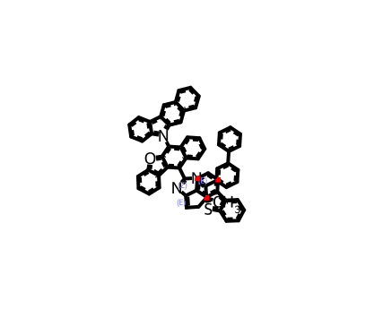 CC1C/C=C(c2cccc3c2sc2ccccc23)/N=C(c2c3ccccc3c(-n3c4ccccc4c4cc5ccccc5cc43)c3oc4ccccc4c23)\N=C/1c1cccc(-c2ccccc2)c1